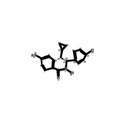 CCN(C(=O)c1ccc(N)cc1)[C@H](CC1CC1)c1ccc(Cl)cc1